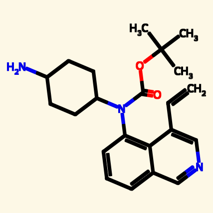 C=Cc1cncc2cccc(N(C(=O)OC(C)(C)C)C3CCC(N)CC3)c12